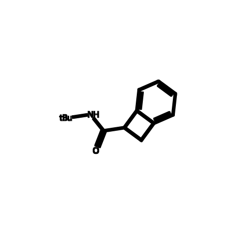 CC(C)(C)NC(=O)C1Cc2ccccc21